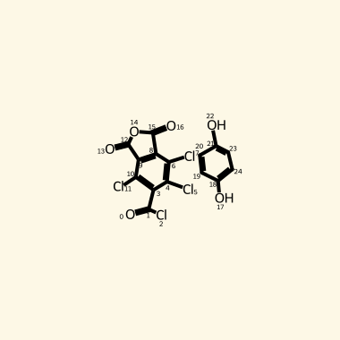 O=C(Cl)c1c(Cl)c(Cl)c2c(c1Cl)C(=O)OC2=O.Oc1ccc(O)cc1